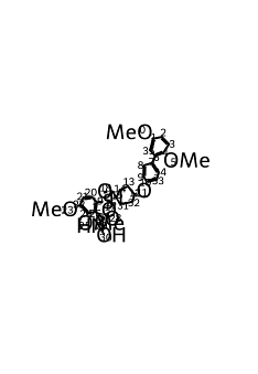 COc1ccc(OC)c(-c2ccc(OC3CCN(S(=O)(=O)c4ccc(OC)c(OC)c4C(=O)NO)CC3)cc2)c1